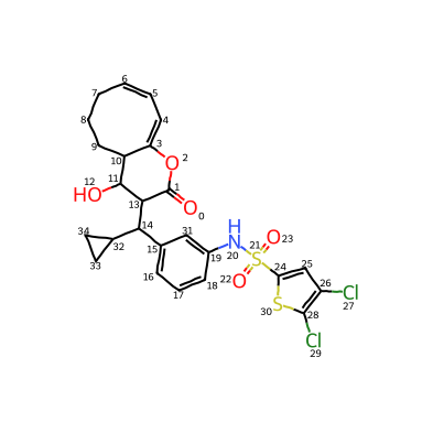 O=C1OC2=CC=CCCCC2C(O)C1C(c1cccc(NS(=O)(=O)c2cc(Cl)c(Cl)s2)c1)C1CC1